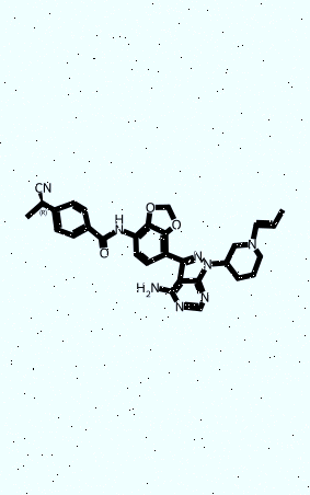 CC=CN1CCCC(n2nc(-c3ccc(NC(=O)c4ccc([C@@H](C)C#N)cc4)c4c3OCO4)c3c(N)ncnc32)C1